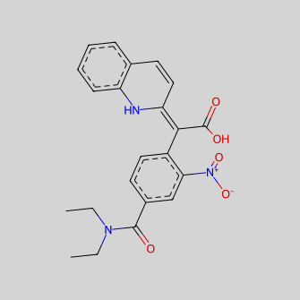 CCN(CC)C(=O)c1ccc(C(C(=O)O)=C2C=Cc3ccccc3N2)c([N+](=O)[O-])c1